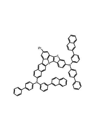 CC(C)c1cc2c3cc4ccc(N(c5ccc(-c6ccccc6)cc5)c5cccc(-c6ccc7ccccc7c6)c5)cc4cc3n3c2c(c1)c1sc2cc(N(c4ccc(-c5ccccc5)cc4)c4cccc(-c5ccc6ccccc6c5)c4)ccc2c13